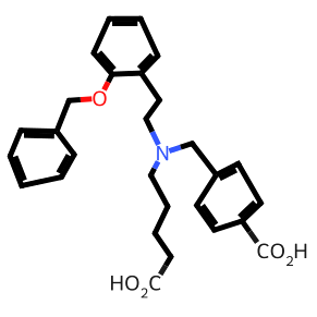 O=C(O)CCCCN(CCc1ccccc1OCc1ccccc1)Cc1ccc(C(=O)O)cc1